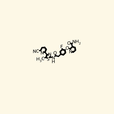 Cc1sc(NC(=O)Cc2ccc(Oc3ncccc3C(N)=O)c(F)c2)nc1-c1cccc(C#N)n1